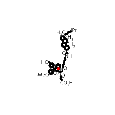 COc1ccc(C(c2ccccc2)(c2ccc(CO)cc2)C(O)C2CN(C(=O)CCCCCNC(=O)OC3CC[C@@]4(C)C(=CCC5C4CC[C@@]4(C)C5CC[C@@H]4C(C)CCCC(C)C)C3)CC2OC(=O)CCC(=O)O)cc1